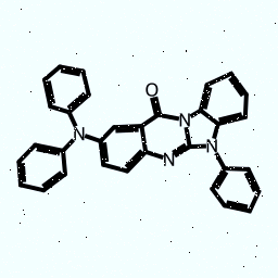 O=c1c2cc(N(c3ccccc3)c3ccccc3)ccc2nc2n(-c3ccccc3)c3ccccc3n12